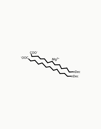 CCCCCCCCCCCCCCCCCCCCCC(=O)[O-].CCCCCCCCCCCCCCCCCCCCCC(=O)[O-].[Mg+2]